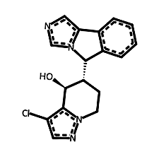 O[C@@H]1c2c(Cl)cnn2CC[C@H]1C1c2ccccc2-c2cncn21